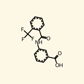 O=C(O)c1cccc(NC(=O)c2ccccc2C(F)(F)F)c1